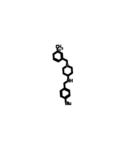 C[C@H]1C=C(CN2CCC(NCc3ccc(C(C)(C)C)cc3)CC2)C=CC1